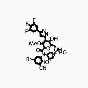 CO[C@@H]1[C@@H](n2cc(-c3cc(F)c(F)c(F)c3)nn2)[C@@H](O)[C@@H](CO)O[C@H]1C(=O)N(c1cc(Br)cc(C#N)c1)[C@H]1CN(C=O)C[C@@H]1O